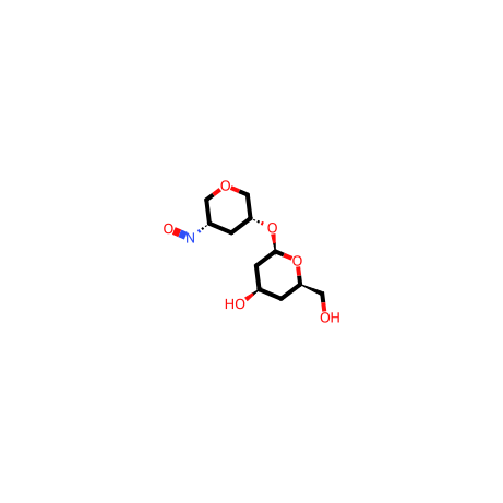 O=N[C@@H]1COC[C@H](O[C@@H]2C[C@H](O)C[C@H](CO)O2)C1